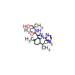 CC(C)C1CC[C@@H](C)c2c(C(=O)NC(C)(C)CO)nn(-c3cnccn3)c21